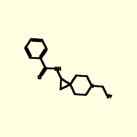 CC(C)CN1CCC2(CC1)CC2NC(=O)c1ccccc1